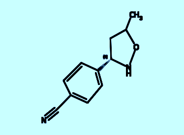 CC1C[C@@H](c2ccc(C#N)cc2)NO1